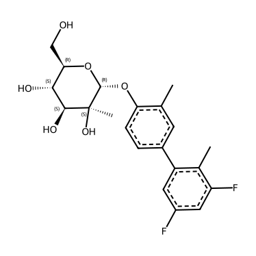 Cc1cc(-c2cc(F)cc(F)c2C)ccc1O[C@H]1O[C@H](CO)[C@@H](O)[C@H](O)[C@]1(C)O